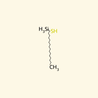 CCCCCCCCCCCCCCCCC([SiH3])S